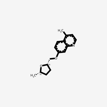 Cc1ccnc2cc(OC[C@@H]3CC[C@H](C)O3)ccc12